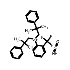 CC(C)([CH2][Sn]([CH2]C(C)(C)c1ccccc1)[c]1ccccc1C(F)(F)F)c1ccccc1.N=C=O